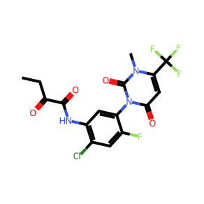 CCC(=O)C(=O)Nc1cc(-n2c(=O)cc(C(F)(F)F)n(C)c2=O)c(F)cc1Cl